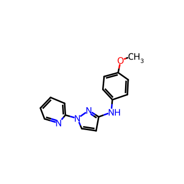 COc1ccc(Nc2ccn(-c3ccccn3)n2)cc1